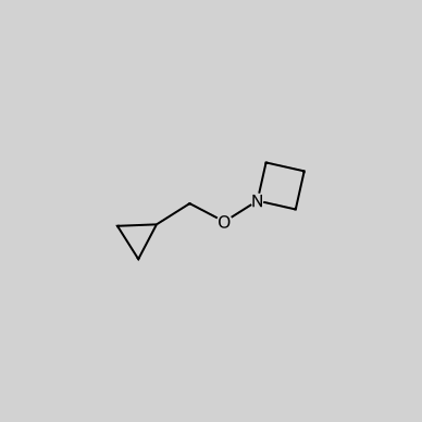 C1CN(OCC2CC2)C1